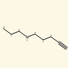 C#CC[CH]C[N]CCC